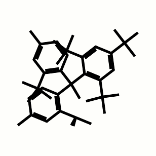 Cc1ccc(C(C)(c2ccc(C)cc2C(C)(C)C)c2c(C(C)(C)C)cc(C(C)(C)C)cc2C(C)(C)C)c(C(C)(C)C)c1